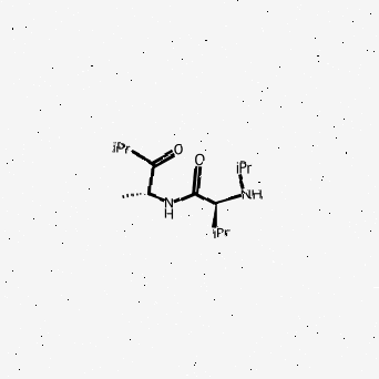 CC(C)N[C@H](C(=O)N[C@H](C)C(=O)C(C)C)C(C)C